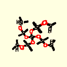 C[SiH](C)O[Si](C)(C)O[Si](O[Si](C)(C)O[SiH](C)C)(O[Si](C)(C)O[SiH](C)C)O[Si](C)(C)O[SiH](C)C